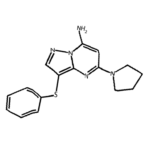 Nc1cc(N2CCCC2)nc2c(Sc3ccccc3)cnn12